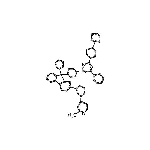 Cc1cc(-c2cccc(-c3ccc4c(c3)C(c3ccccc3)(c3ccc(-c5cc(-c6ccccc6)nc(-c6ccc(-c7ccccc7)cc6)n5)cc3)c3ccccc3-4)c2)ccn1